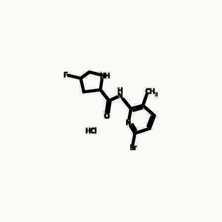 Cc1ccc(Br)nc1NC(=O)C1CC(F)CN1.Cl